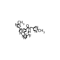 Cc1ncc(CNC(=O)c2cc(-n3nncc3C(F)F)c3ncc(-c4cnc(C)s4)n3c2)cn1